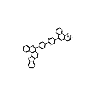 CC/C=C\c1cc(-c2cnc(-c3ccc(-c4nc5ccccc5c5c4ccc4c6ccccc6sc45)cc3)nc2)c2cccnc2c1C